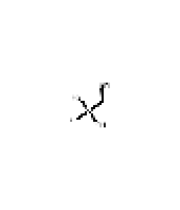 CCCCS(S)(S)CC